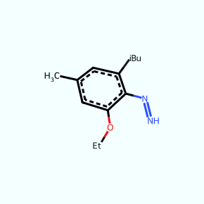 CCOc1cc(C)cc(C(C)CC)c1N=N